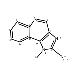 Cn1c(N)nc2cnc3ccccc3c21